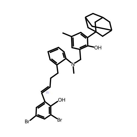 Cc1cc(CN(C)c2ccccc2CC/C=C/c2cc(Br)cc(Br)c2O)c(O)c(C23CC4CC(CC(C4)C2)C3)c1